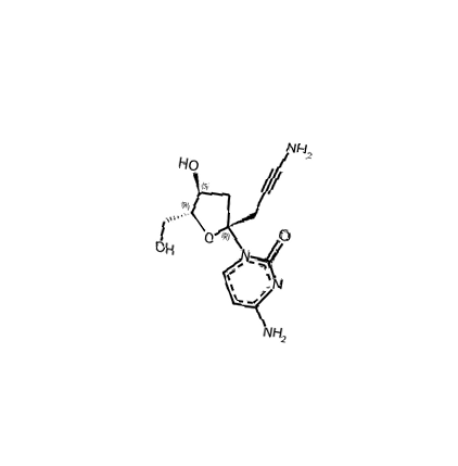 NC#CC[C@]1(n2ccc(N)nc2=O)C[C@H](O)[C@@H](CO)O1